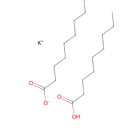 CCCCCCCCC(=O)O.CCCCCCCCC(=O)[O-].[K+]